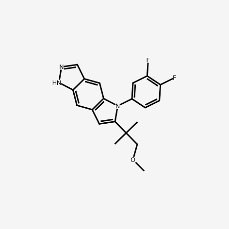 COCC(C)(C)c1cc2cc3[nH]ncc3cc2n1-c1ccc(F)c(F)c1